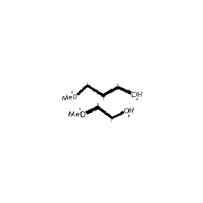 COCCCO.COCCO